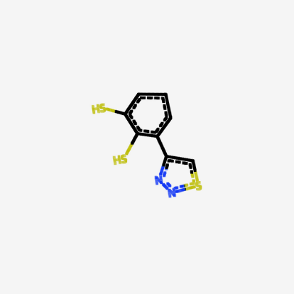 Sc1cccc(-c2csnn2)c1S